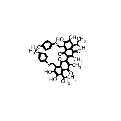 CC1=C(C2=C(C)C(=O)c3c(c(CSc4ccc(C)cc4)c(O)c(O)c3C(C)C)C2=O)C(=O)c2c(CSc3ccc(C)cc3)c(O)c(O)c(C(C)C)c2C1=O